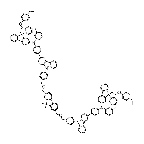 C=Cc1ccc(OCCC2(c3ccccc3)c3ccccc3-c3ccc(N(c4ccc(-c5ccc6c(c5)c5ccccc5n6-c5ccc(COCc6ccc7c(c6)C(C)(C)c6cc(COCc8ccc(-n9c%10ccccc%10c%10cc(-c%11ccc(N(c%12cccc(C)c%12)c%12ccc%13c(c%12)C(CCOc%12ccc(C=C)cc%12)(c%12ccccc%12)c%12ccccc%12-%13)cc%11)ccc%109)cc8)ccc6-7)cc5)cc4)c4cccc(C)c4)cc32)cc1